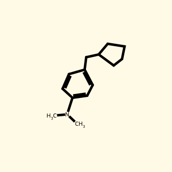 CN(C)c1ccc(CC2CCCC2)cc1